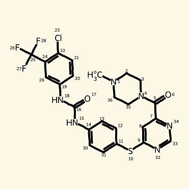 CN1CCN(C(=O)c2cc(Sc3ccc(NC(=O)Nc4ccc(Cl)c(C(F)(F)F)c4)cc3)ncn2)CC1